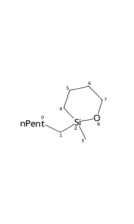 CCCCCC[Si]1(C)CCCCO1